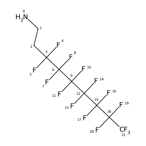 NCCC(F)(F)C(F)(F)C(F)(F)C(F)(F)C(F)(F)C(F)(F)C(F)(F)F